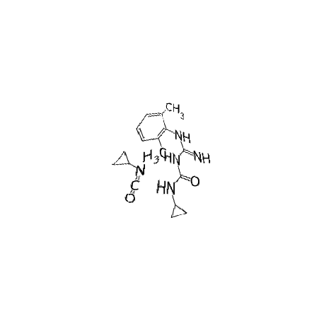 Cc1cccc(C)c1NC(=N)NC(=O)NC1CC1.O=C=NC1CC1